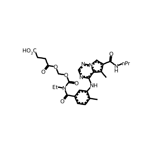 CCCNC(=O)c1cn2ncnc(Nc3cc(C(=O)N(CC)C(=O)OCOC(=O)CCC(=O)O)ccc3C)c2c1C